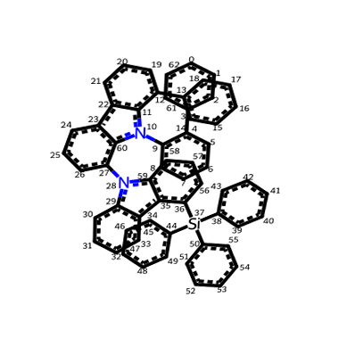 c1ccc(-c2ccccc2-n2c3c(-c4ccccc4)cccc3c3cccc(-n4c5ccccc5c5c([Si](c6ccccc6)(c6ccccc6)c6ccccc6)cccc54)c32)cc1